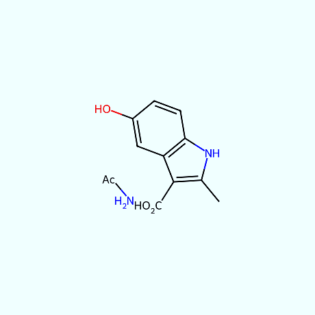 CC(N)=O.Cc1[nH]c2ccc(O)cc2c1C(=O)O